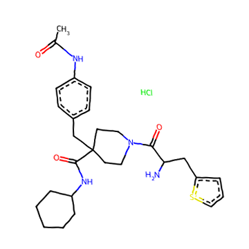 CC(=O)Nc1ccc(CC2(C(=O)NC3CCCCC3)CCN(C(=O)C(N)Cc3cccs3)CC2)cc1.Cl